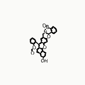 CN(Cc1ccccc1B=O)Cc1cc2c(-c3ccccc3OC=O)c3ccc4cc(O)ccc4c3oc-2cc1=O